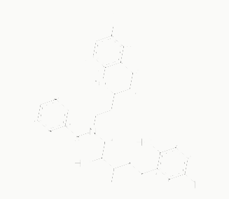 CC(CCc1cc(F)ccc1O)C(O)CN(CCC1CCc2cc(F)ccc2O1)Cc1ccccc1